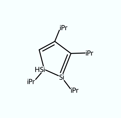 CC(C)C1=C[SiH](C(C)C)[Si](C(C)C)=C1C(C)C